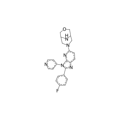 Fc1ccc(-c2nc3ccc(N4CC5COCC(C4)N5)nc3n2-c2ccncc2)cc1